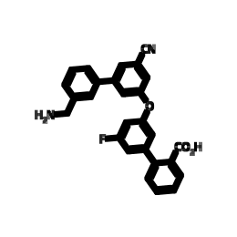 N#Cc1cc(Oc2cc(F)cc(-c3ccccc3C(=O)O)c2)cc(-c2cccc(CN)c2)c1